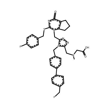 CN(CC(=O)O)Cc1nnc(Cn2c(SCc3ccc(F)cc3)nc(=O)c3c2CCC3)n1Cc1ccc(-c2ccc(CF)cc2)cc1